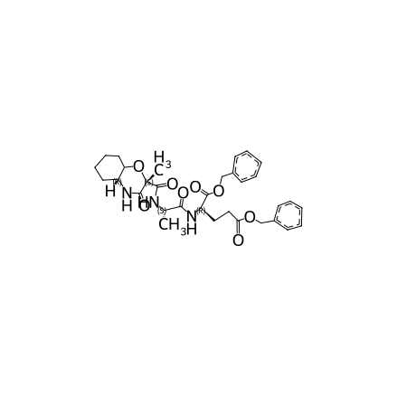 C[C@H](NC(=O)[C@@]1(C)OC2CCCC[C@H]2NC1=O)C(=O)N[C@H](CCC(=O)OCc1ccccc1)C(=O)OCc1ccccc1